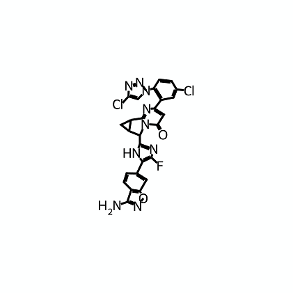 Nc1noc2cc(-c3[nH]c(C4C5CC5c5nc(-c6cc(Cl)ccc6-n6cc(Cl)nn6)cc(=O)n54)nc3F)ccc12